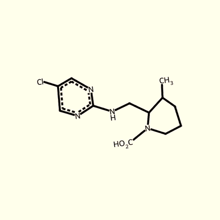 CC1CCCN(C(=O)O)C1CNc1ncc(Cl)cn1